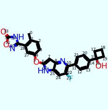 Cc1ccc(Oc2cc3nc(-c4ccc(C5(O)CCC5)cc4)c(F)cc3[nH]2)cc1-c1noc(=O)[nH]1